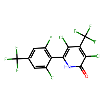 O=c1[nH]c(-c2c(F)cc(C(F)(F)F)cc2Cl)c(Cl)c(C(F)(F)F)c1Cl